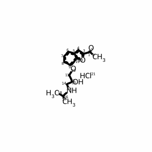 CC(=O)c1cc2cccc(OCC(O)CNC(C)C)c2o1.Cl